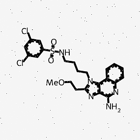 COCCc1nc2c(N)nc3ccccc3c2n1CCCCNS(=O)(=O)c1cc(Cl)cc(Cl)c1